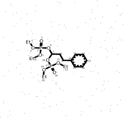 CCOP(=O)(OCC)OC(CCc1ccccc1)OP(=O)(OCC)OCC